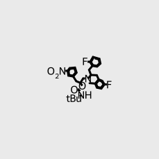 CC(C)(C)NC(=O)OC(Cc1cccc([N+](=O)[O-])c1)CN1Cc2ccc(F)cc2CC1Cc1ccccc1F